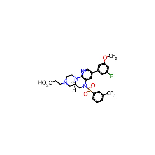 O=C(O)CCN1CCN2c3ncc(-c4cc(F)cc(OC(F)(F)F)c4)cc3N(S(=O)(=O)c3cccc(C(F)(F)F)c3)C[C@@H]2C1